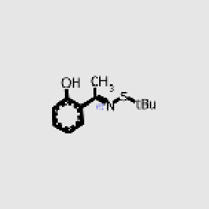 C/C(=N\SC(C)(C)C)c1ccccc1O